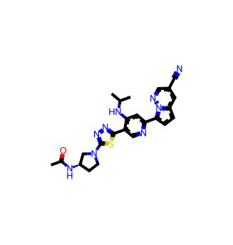 CC(=O)N[C@@H]1CCN(c2nnc(-c3cnc(-c4ccc5cc(C#N)cnn45)cc3NC(C)C)s2)C1